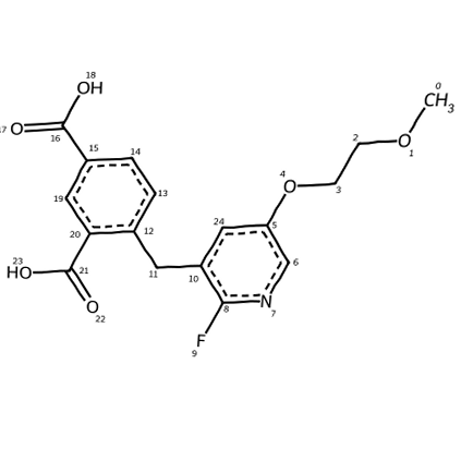 COCCOc1cnc(F)c(Cc2ccc(C(=O)O)cc2C(=O)O)c1